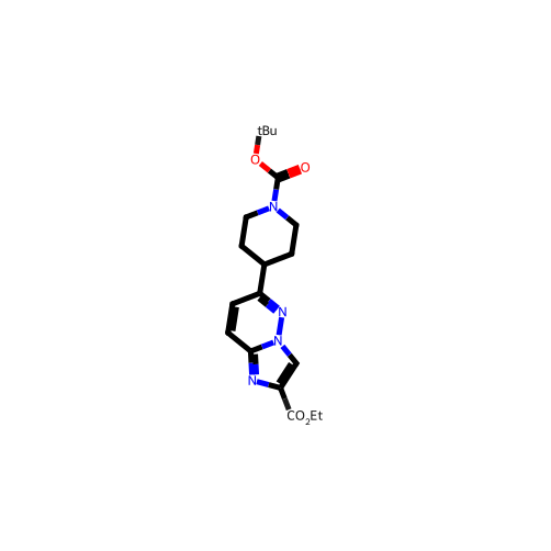 CCOC(=O)c1cn2nc(C3CCN(C(=O)OC(C)(C)C)CC3)ccc2n1